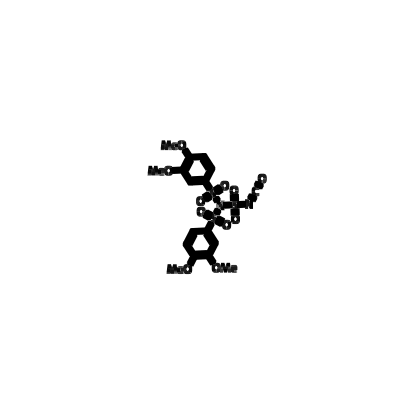 COc1ccc(S(=O)(=O)N(S(=O)(=O)N=C=O)S(=O)(=O)c2ccc(OC)c(OC)c2)cc1OC